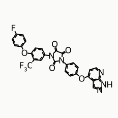 O=C1C(=O)N(c2ccc(Oc3ccc(F)cc3)c(C(F)(F)F)c2)C(=O)N1c1ccc(Oc2ccnc3[nH]ncc23)cc1